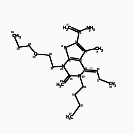 C=C(N)c1sc2c(c1C)/C(=C/CC)N(CCCC)C(=C)N2CCOCCC